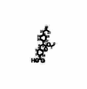 CCOC(=O)C(Cc1ccc(C(=O)O)cc1)c1ccc(CC(C)C)cc1